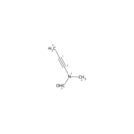 [CH2]C#CN(C)C=O